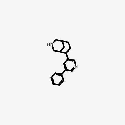 c1ccc(-c2cncc(C3CCC4CNCC3C4)c2)cc1